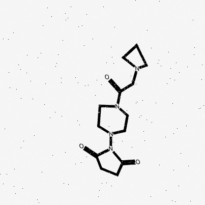 O=C(CN1CCC1)N1CCN(N2C(=O)CCC2=O)CC1